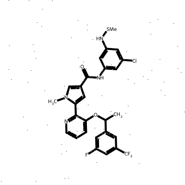 CSNc1cc(Cl)cc(NC(=O)c2cc(-c3ncccc3OC(C)c3cc(F)cc(C(F)(F)F)c3)n(C)c2)c1